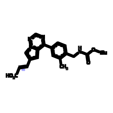 Cc1cc(-c2ncnn3cc(/C=C/C(=O)O)cc23)ccc1CNC(=O)OC(C)(C)C